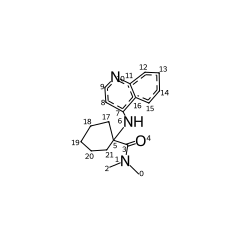 CN(C)C(=O)C1(Nc2ccnc3ccccc23)CCCCC1